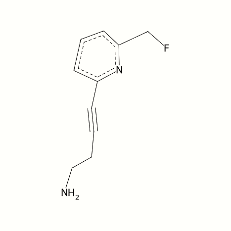 NCCC#Cc1cccc(CF)n1